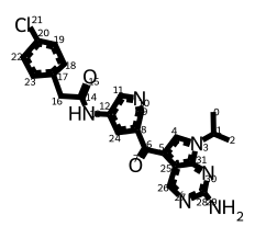 CC(C)n1cc(C(=O)c2cncc(NC(=O)Cc3ccc(Cl)cc3)c2)c2cnc(N)nc21